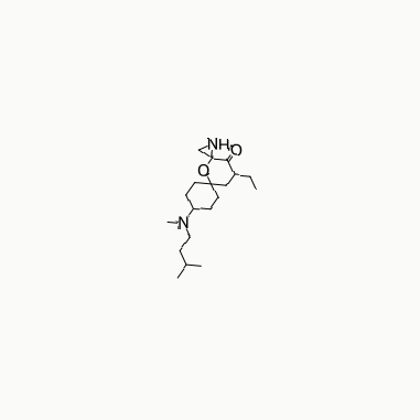 CCC1CC2(CCC(N(C)CCC(C)C)CC2)OC2(CN2)C1=O